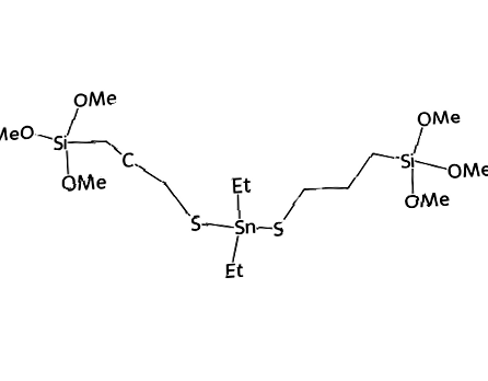 C[CH2][Sn]([CH2]C)([S]CCC[Si](OC)(OC)OC)[S]CCC[Si](OC)(OC)OC